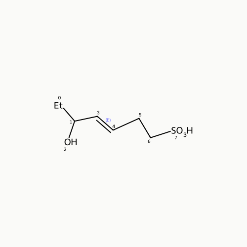 CCC(O)/C=C/CCS(=O)(=O)O